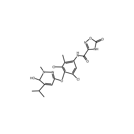 Cc1c(NC(=O)c2noc(=O)[nH]2)cc(Cl)c(OC2=NN(C)C(O)C(C(C)C)=C2)c1Cl